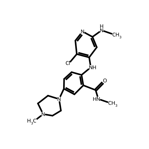 CNC(=O)c1cc(N2CCN(C)CC2)ccc1Nc1cc(NC)ncc1Cl